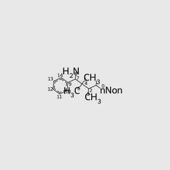 CCCCCCCCCCC(C)C(C)(C)C(N)c1ccccc1